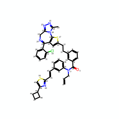 C=CCN(C(=O)c1cccc(CCc2cc3c(s2)-n2c(C)nnc2CN=C3c2ccccc2Cl)c1)c1cccc(/C=C/c2nc(C3CCC3)cs2)c1